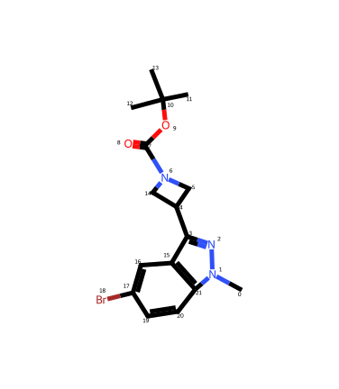 Cn1nc(C2CN(C(=O)OC(C)(C)C)C2)c2cc(Br)ccc21